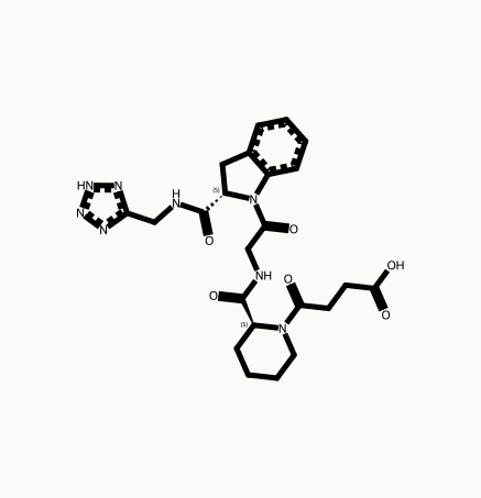 O=C(O)CCC(=O)N1CCCC[C@H]1C(=O)NCC(=O)N1c2ccccc2C[C@H]1C(=O)NCc1nn[nH]n1